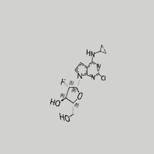 OC[C@H]1O[C@@H](n2ccc3c(NC4CC4)nc(Cl)nc32)[C@@H](F)[C@@H]1O